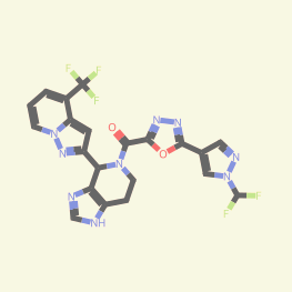 O=C(c1nnc(-c2cnn(C(F)F)c2)o1)N1CCc2[nH]cnc2C1c1cc2c(C(F)(F)F)cccn2n1